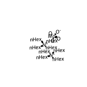 CCCCCC[N+](CCCCCC)(CCCCCC)CCCCCC.CCCCCC[N+](CCCCCC)(CCCCCC)CCCCCC.[O]=[Mo](=[O])([O-])[O-]